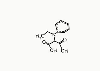 CCN(c1ccccc1)C(C(=O)O)C(=O)O